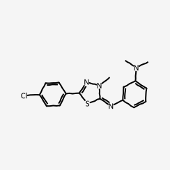 CN(C)c1cccc(N=c2sc(-c3ccc(Cl)cc3)nn2C)c1